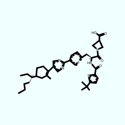 CCCC[C@H](CC)C1CCC(c2cnc(-c3ccc(C[C@H](NC(=O)c4ccc(C(C)(C)C)s4)C(=O)N4CC(C(=O)O)C4)cc3)nc2)=C(C)C1